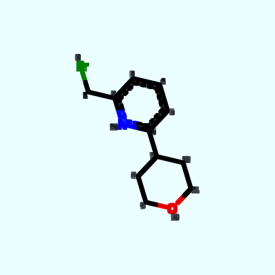 BrCc1cccc(C2CCOCC2)n1